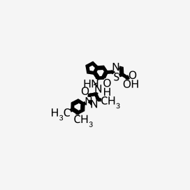 CC1=NN(c2ccc(C)c(C)c2)C(=O)/C1=N\Nc1c(O)c(-c2ncc(C(=O)O)s2)cc2c1CCC2